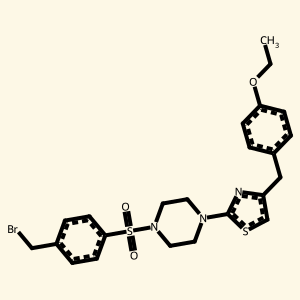 CCOc1ccc(Cc2csc(N3CCN(S(=O)(=O)c4ccc(CBr)cc4)CC3)n2)cc1